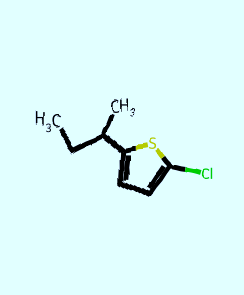 CCC(C)c1ccc(Cl)s1